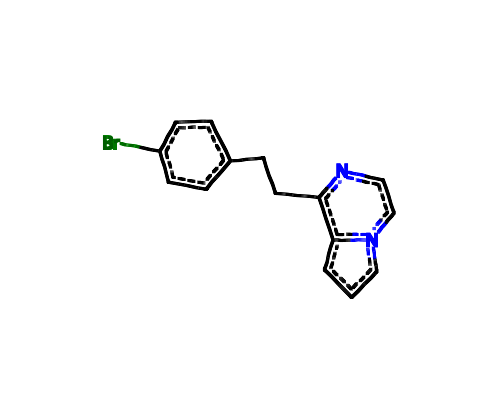 Brc1ccc(CCc2nccn3cccc23)cc1